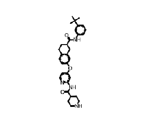 CC(C)(C)c1cccc(NC(=O)C2CCc3ccc(Oc4ccnc(NC(=O)C5CCNCC5)c4)cc3C2)c1